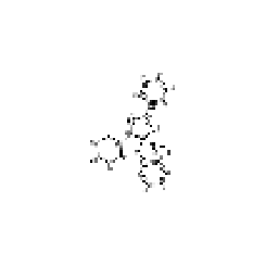 C[C@@]1(Cc2ccccc2)N=C(c2ccccc2)O[C@H]1C1CCCCC1